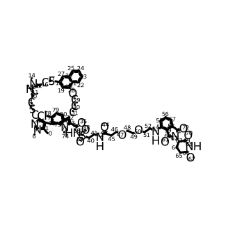 Cc1c2c(nn1C)CSCc1cc(n(C)n1)CSc1cc(c3ccccc3c1)OCCCc1c(C(=O)NS(=O)(=O)CCNC(=O)CCOCCOCCNc3cccc4c3C(=O)N(C3CCC(=O)NC3=O)C4=O)n(C)c3c-2c(Cl)ccc13